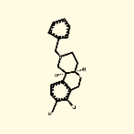 Clc1c(Br)ccc2c1CO[C@@H]1CCN(Cc3ccccc3)C[C@H]21